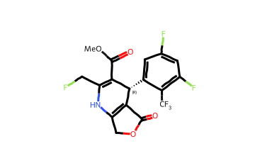 COC(=O)C1=C(CF)NC2=C(C(=O)OC2)[C@H]1c1cc(F)cc(F)c1C(F)(F)F